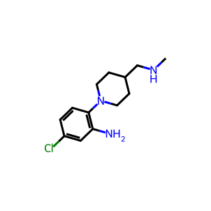 CNCC1CCN(c2ccc(Cl)cc2N)CC1